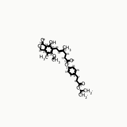 [CH2]C([CH2])OC(=O)CCc1ccc(OC(=O)CC/C(C)=C/Cc2c(O)c3c(c(C)c2OC)COC3=O)cc1